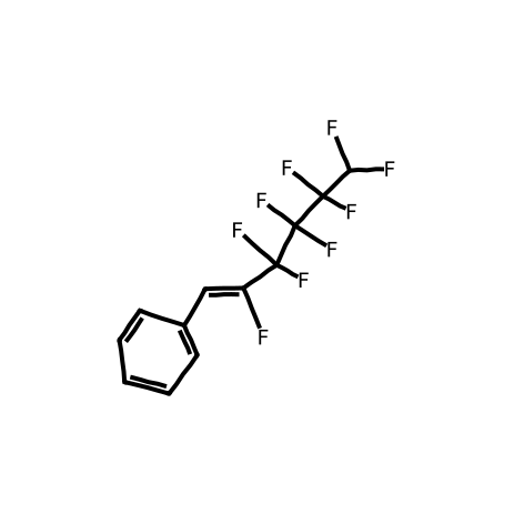 FC(=Cc1ccccc1)C(F)(F)C(F)(F)C(F)(F)C(F)F